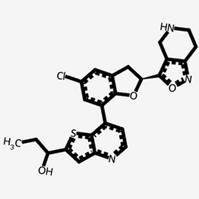 CCC(O)c1cc2nccc(-c3cc(Cl)cc4c3O[C@H](c3onc5c3CNCC5)C4)c2s1